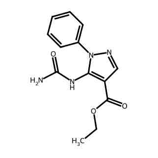 CCOC(=O)c1cnn(-c2ccccc2)c1NC(N)=O